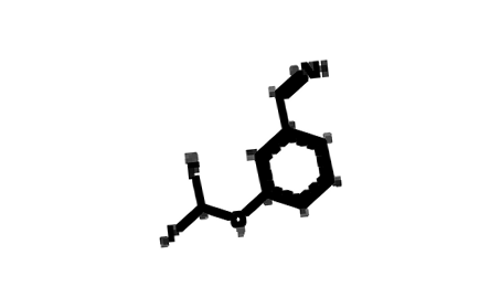 N=Cc1cccc(OC(F)F)c1